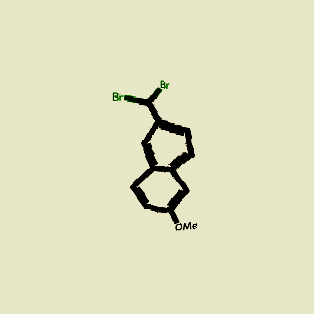 COc1ccc2cc(C(Br)Br)ccc2c1